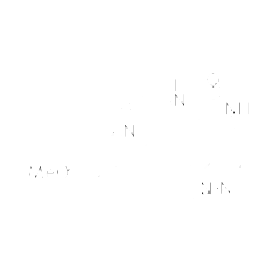 COc1ccc(N2CCC(Nc3cc(-c4cnn(C)c4)c[nH]c3=O)CC2)cc1